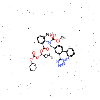 CC(OC(=O)OC1CCCCC1)OC(=O)c1cccc([N+](=O)[O-])c1N(Cc1ccc(-c2ccccc2)c(-c2nnn[nH]2)c1)C(=O)OC(C)(C)C